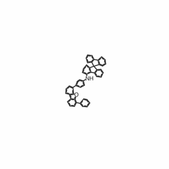 c1ccc(-c2cccc3c2oc2c(-c4ccc(Nc5cccc6c5-c5ccccc5C65c6ccccc6-c6ccccc65)cc4)cccc23)cc1